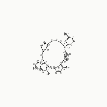 CC1(c2cccc(Br)c2)CCCCc2cn(nn2)CCc2c(c(F)cc3[nH]ccc23)Oc2ccc(F)c(c2)-c2ncc1[nH]2